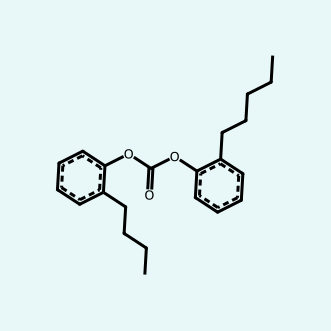 CCCCCc1ccccc1OC(=O)Oc1ccccc1CCCC